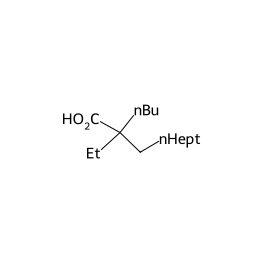 CCCCCCCCC(CC)(CCCC)C(=O)O